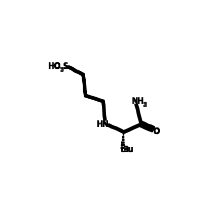 CC(C)(C)[C@H](NCCCS(=O)(=O)O)C(N)=O